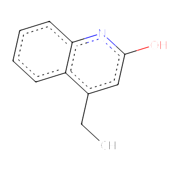 CCc1cc(O)nc2cc[c]cc12